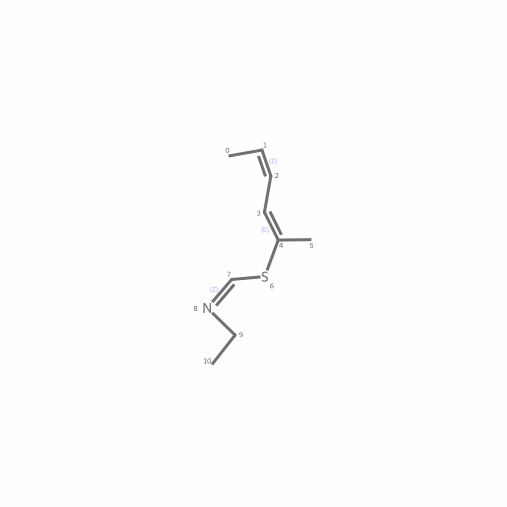 C/C=C\C=C(/C)S/C=N\CC